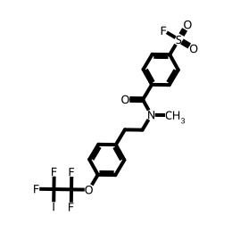 CN(CCc1ccc(OC(F)(F)C(F)(F)I)cc1)C(=O)c1ccc(S(=O)(=O)F)cc1